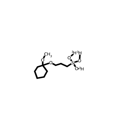 [3H]O[Si](CCCOC1(OC)CCCCC1)(O[3H])O[3H]